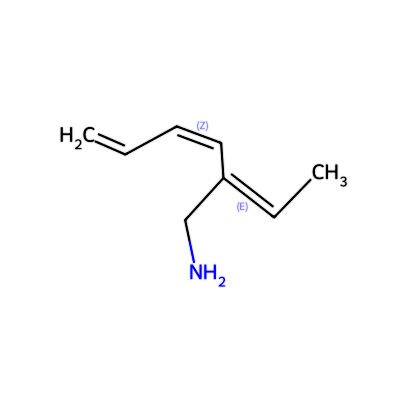 C=C/C=C\C(=C/C)CN